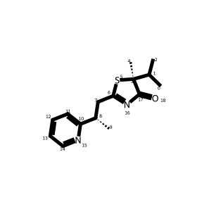 CC(C)[C@]1(C)SC(C[C@H](C)c2ccccn2)=NC1=O